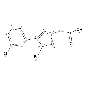 O=C(O)Oc1cc(-c2cccc(Cl)c2)c(Br)o1